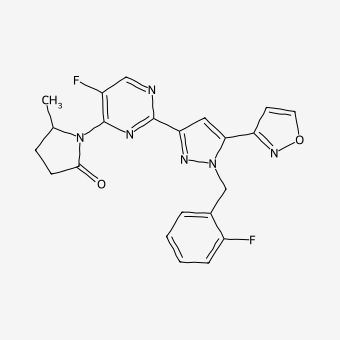 CC1CCC(=O)N1c1nc(-c2cc(-c3ccon3)n(Cc3ccccc3F)n2)ncc1F